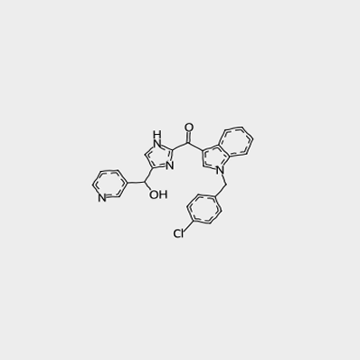 O=C(c1nc(C(O)c2cccnc2)c[nH]1)c1cn(Cc2ccc(Cl)cc2)c2ccccc12